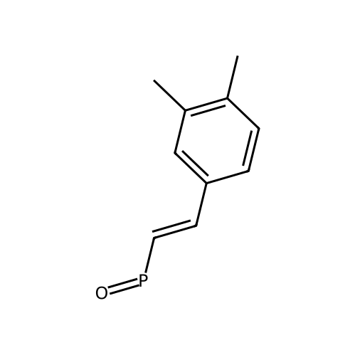 Cc1ccc(C=CP=O)cc1C